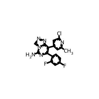 Cc1cc(-c2c(-c3ccc(F)cc3F)nc(N)n3cnnc23)cc(Cl)n1